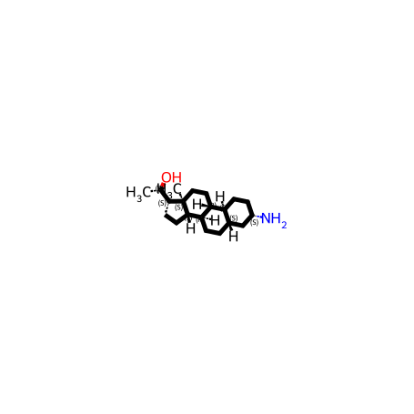 C[C@H](O)[C@H]1CC[C@H]2[C@@H]3CC[C@H]4C[C@@H](N)CC[C@@H]4[C@H]3CC[C@]12C